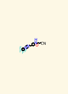 N#CCCCC(=O)NC1CCC(CCN2CCN(c3cc(F)c(F)c(F)c3F)CC2)CC1